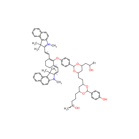 CCC(O)CC1CC(CCC2CC(CCC[C@H](C)O)OC(c3ccc(O)cc3)O2)OC(c2ccc(OC3=C(/C=C/C4=[N+](C)c5ccc6ccccc6c5C4(C)C)CCC/C3=C\C=C3\N(C)c4ccc5ccccc5c4C3(C)C)cc2)O1